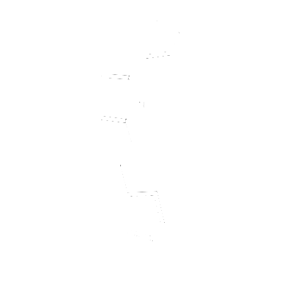 O=C(NC(=S)OCc1ccc(Cl)cc1)c1sccc1Cl